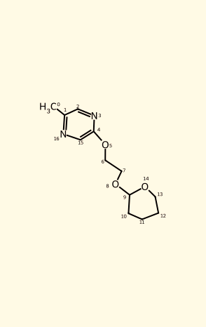 Cc1cnc(OCCOC2CCCCO2)cn1